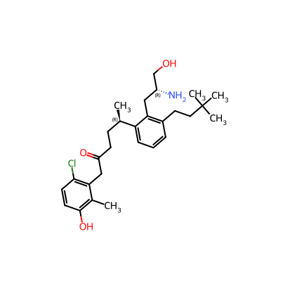 Cc1c(O)ccc(Cl)c1CC(=O)CC[C@@H](C)c1cccc(CCC(C)(C)C)c1C[C@@H](N)CO